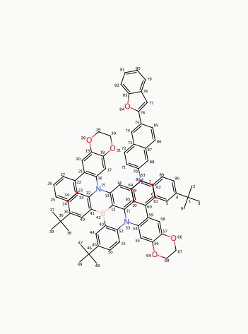 CC(C)(C)c1ccc(N(c2cc3c4c(c2)N(c2cc5c(cc2-c2ccccc2)OCCO5)c2ccc(C(C)(C)C)cc2B4c2cc(C(C)(C)C)ccc2N3c2cc3c(cc2-c2ccccc2)OCCO3)c2ccc3cc(-c4cc5ccccc5o4)ccc3c2)cc1